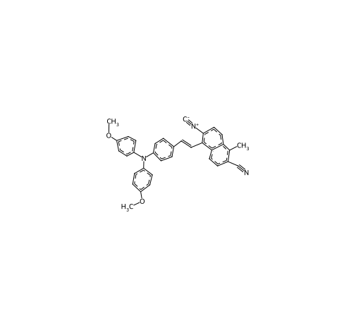 [C-]#[N+]c1ccc2c(C)c(C#N)ccc2c1C=Cc1ccc(N(c2ccc(OC)cc2)c2ccc(OC)cc2)cc1